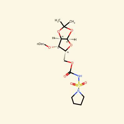 CCCCCCCCCCO[C@@H]1[C@H]2OC(C)(C)O[C@H]2O[C@@H]1COC(=O)NS(=O)(=O)N1CCCC1